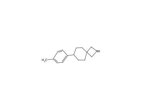 Cc1ccc(C2CCC3(CC2)CNC3)cc1